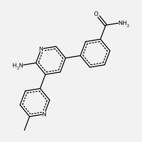 Cc1ccc(-c2cc(-c3cccc(C(N)=O)c3)cnc2N)cn1